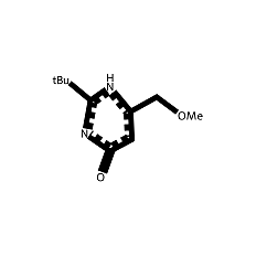 COCc1cc(=O)nc(C(C)(C)C)[nH]1